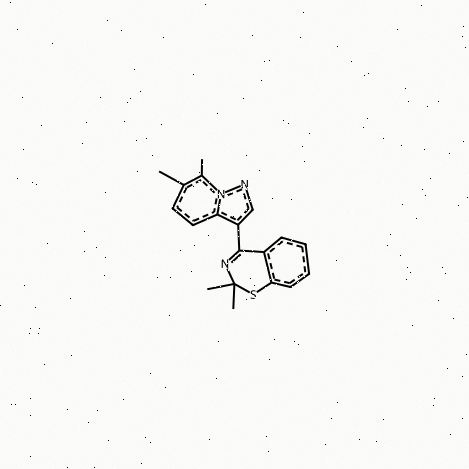 Cc1ccc2c(C3=NC(C)(C)Sc4ccccc43)cnn2c1C